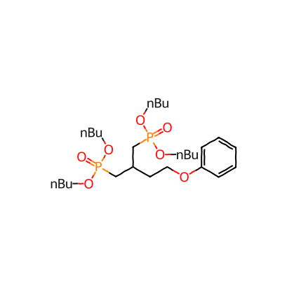 CCCCOP(=O)(CC(CCOc1ccccc1)CP(=O)(OCCCC)OCCCC)OCCCC